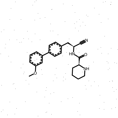 COc1cccc(-c2ccc(C[C@@H](C#N)NC(=O)[C@@H]3CCCCN3)cc2)c1